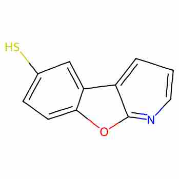 Sc1ccc2oc3ncccc3c2c1